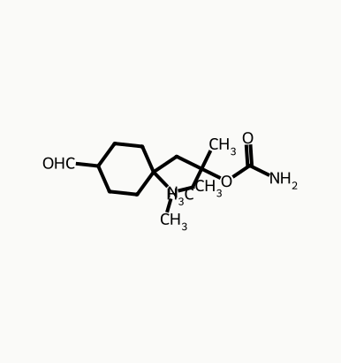 CN(C)C1(CC(C)(C)OC(N)=O)CCC(C=O)CC1